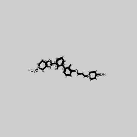 Cc1c(OCCCN2CCC(O)CC2)cccc1-c1cccc(-c2nc3c(s2)CCN(C(=O)O)C3)c1C